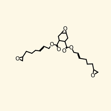 O=C(OC/C=C/CCCC1CO1)C1CC2OC2CC1C(=O)OC/C=C/CCCC1CO1